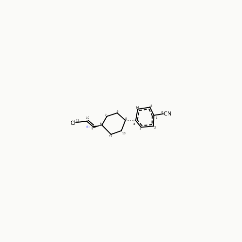 N#Cc1ccc([C@H]2CC[C@H](/C=C/Cl)CC2)cc1